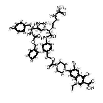 CCn1cc(C(=O)O)c(=O)c2cc(F)c(N3CCN(C(=O)OCc4ccc(NC(=O)[C@H](CCCNC(N)=O)N5C=C([C@H](Cc6ccc(F)cc6)NC(=O)OCc6ccccc6)NN5)cc4)CC3)cc21